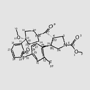 COC(=O)N1C[C@@H](C(=O)N2CC[C@](OC)(c3ccccc3)[C@@H](OC)C2)[C@H](c2ccc(F)cc2F)C1